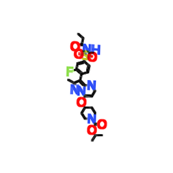 CCC(=O)NS(=O)(=O)c1ccc(-c2c(C)nn3c(OC4CCN(C(=O)OC(C)C)CC4)ccnc23)c(F)c1